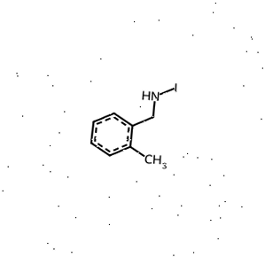 Cc1ccccc1CNI